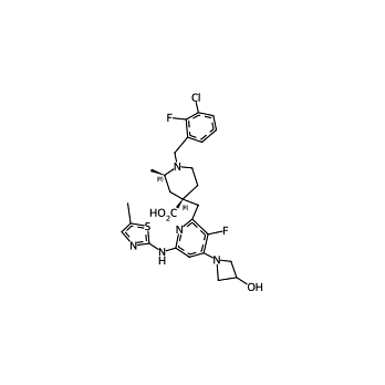 Cc1cnc(Nc2cc(N3CC(O)C3)c(F)c(C[C@@]3(C(=O)O)CCN(Cc4cccc(Cl)c4F)[C@H](C)C3)n2)s1